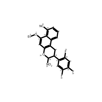 CCOc1cc2c(c3cccc(C#N)c13)CC(c1cc(F)c(F)cc1F)C([N+](=O)[O-])O2